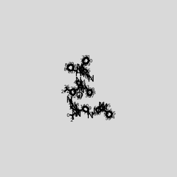 CC(C)n1nc(-c2ccccc2)c2c1CN(C#N)C2.COc1ccc(C(C)C)cc1-c1nn(Cc2ccccc2)c2c1CNC2.Cn1nc2c(c1-c1ccccc1)CN(C#N)C2.N#CN1Cc2c(-c3ccccc3)nn(Cc3ccccc3)c2C1